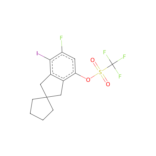 O=S(=O)(Oc1cc(F)c(I)c2c1CC1(CCCC1)C2)C(F)(F)F